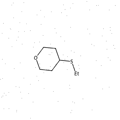 CCSC1CCOCC1